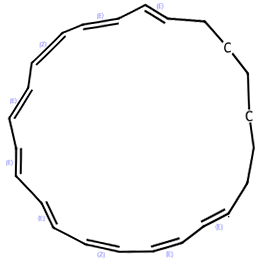 [C]1=C/C=C/C=C\C=C\C=C\C=C\C=C/C=C/C=C/CCCCCC/1